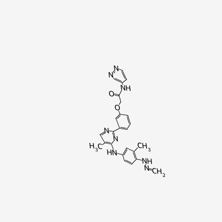 C=NNc1ccc(Nc2nc(-c3cccc(OCC(=O)Nc4ccnnc4)c3)ncc2C)cc1C